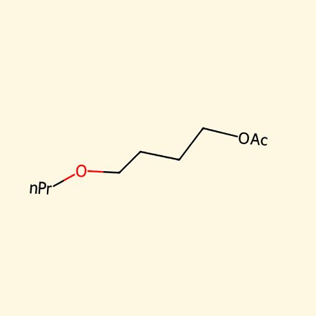 CCCOCCCCOC(C)=O